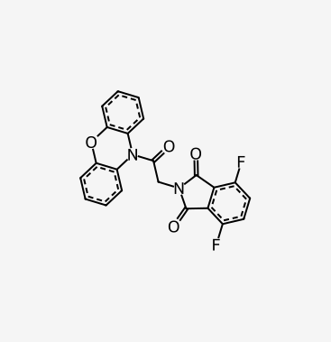 O=C1c2c(F)ccc(F)c2C(=O)N1CC(=O)N1c2ccccc2Oc2ccccc21